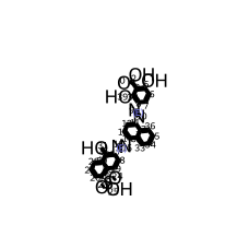 O=C(O)c1c(O)ccc(/N=N/c2ccc(/N=N/c3ccc4c(S(=O)(=O)O)cccc4c3O)c3ccccc23)c1O